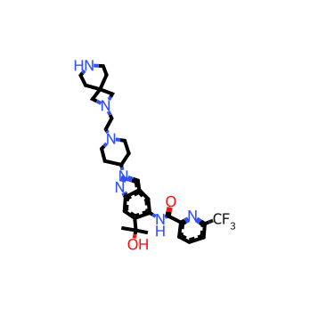 CC(C)(O)c1cc2nn(C3CCN(CCN4CC5(CCNCC5)C4)CC3)cc2cc1NC(=O)c1cccc(C(F)(F)F)n1